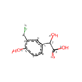 O=C(O)C(O)c1ccc(O)c(CBr)c1